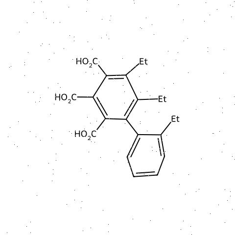 CCc1ccccc1-c1c(CC)c(CC)c(C(=O)O)c(C(=O)O)c1C(=O)O